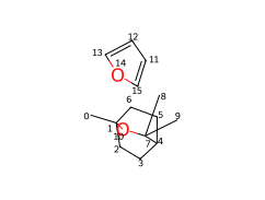 CC12CCC(CC1)C(C)(C)O2.c1ccoc1